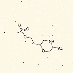 CC(=O)C1COC(CCOS(C)(=O)=O)CN1